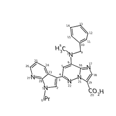 CC(C)n1cc(-c2cc(N(C)Cc3ccccc3)c3ncc(C(=O)O)n3n2)c2cccnc21